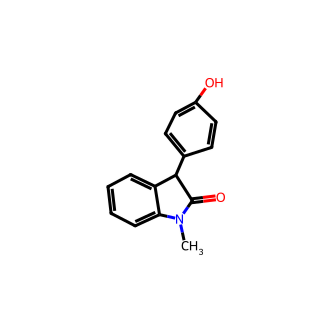 CN1C(=O)C(c2ccc(O)cc2)c2ccccc21